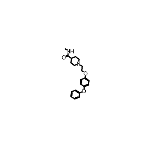 CNC(=O)C1CCN(CCOc2ccc(Oc3ccccc3)cc2)CC1